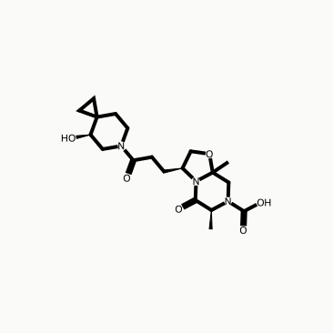 C[C@H]1C(=O)N2[C@@H](CCC(=O)N3CCC4(CC4)[C@H](O)C3)COC2(C)CN1C(=O)O